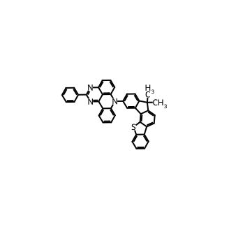 CC1(C)c2ccc(N3c4ccccc4-c4nc(-c5ccccc5)nc5cccc3c45)cc2-c2c1ccc1c2sc2ccccc21